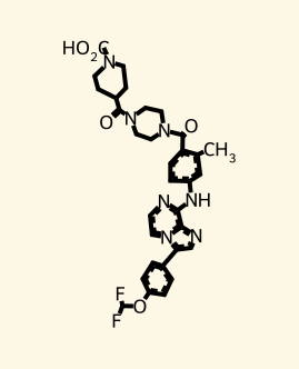 Cc1cc(Nc2nccn3c(-c4ccc(OC(F)F)cc4)cnc23)ccc1C(=O)N1CCN(C(=O)C2CCN(C(=O)O)CC2)CC1